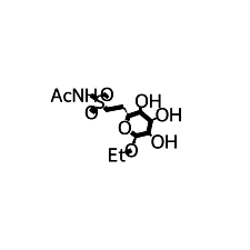 CCO[C@H]1O[C@H](CCS(=O)(=O)NC(C)=O)[C@@H](O)[C@H](O)[C@@H]1O